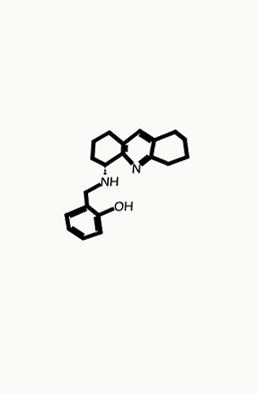 Oc1ccccc1CN[C@@H]1CCCc2cc3c(nc21)CCCC3